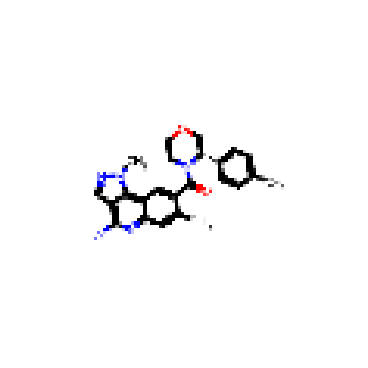 Cc1cc2nc(N)c3cnn(C)c3c2cc1C(=O)N1CCOC[C@@H]1c1ccc(C(F)(F)F)cc1